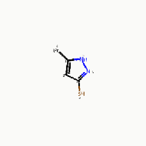 CC(C)c1cc(S)n[nH]1